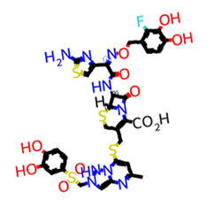 CC1=NC2=CN(CS(=O)(=O)c3ccc(O)c(O)c3)NN2C(SCC2=C(C(=O)O)N3C(=O)[C@@H](NC(=O)/C(=N\OCc4ccc(O)c(O)c4F)c4csc(N)n4)[C@H]3SC2)=C1